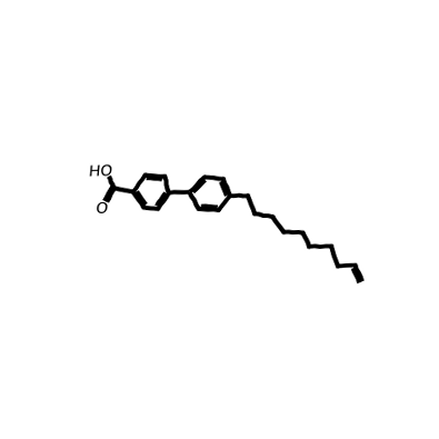 C=CCCCCCCCCc1ccc(-c2ccc(C(=O)O)cc2)cc1